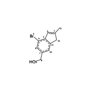 CC1=Cc2c(Br)cc(CO)cc2C1